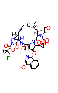 COc1cnc(O[C@@H]2C[C@H]3C(=O)N[C@]4(C(=O)NS(=O)(=O)C5(CF)CC5)C[C@H]4/C=C\CC[C@@H](C)C[C@@H](C)[C@H](N(C(=O)O)C4COC4)C(=O)N3C2C2CC2)c2ccccc12